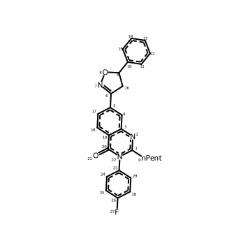 CCCCCc1nc2cc(C3=NOC(c4ccccc4)C3)ccc2c(=O)n1-c1ccc(F)cc1